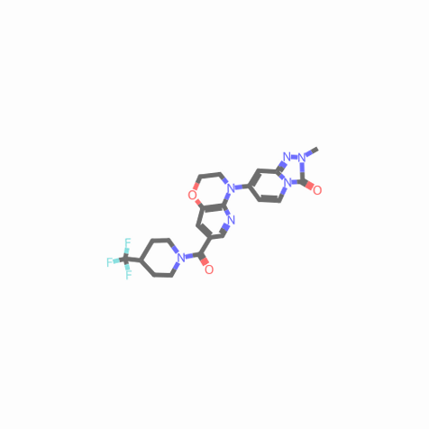 Cn1nc2cc(N3CCOc4cc(C(=O)N5CCC(C(F)(F)F)CC5)cnc43)ccn2c1=O